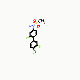 CS(=O)(=O)Nc1ccc(-c2ccc(Cl)c(F)c2)c(F)c1